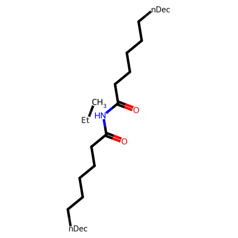 CCC.CCCCCCCCCCCCCCCC(=O)NC(=O)CCCCCCCCCCCCCCC